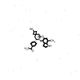 COc1cc(C)c2[nH]ccc2c1CN1CCC2(CC(C#N)C2)C[C@H]1c1ccc(C(N)=O)cc1